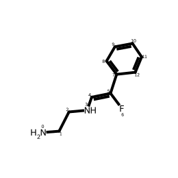 NCCNC=C(F)c1ccccc1